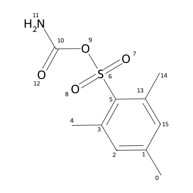 Cc1cc(C)c(S(=O)(=O)OC(N)=O)c(C)c1